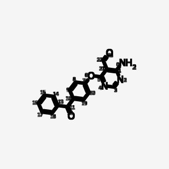 Nc1ncnc(Oc2ccc(C(=O)c3ccccc3)cc2)c1C=O